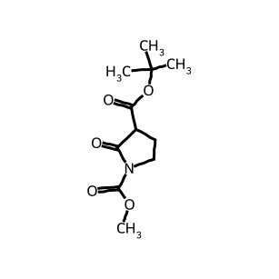 COC(=O)N1CCC(C(=O)OC(C)(C)C)C1=O